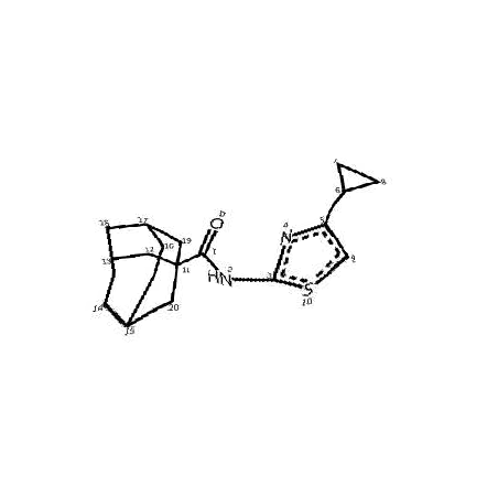 O=C(Nc1nc(C2CC2)cs1)C12CC3CC(CC(C3)C1)C2